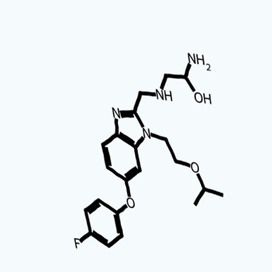 CC(C)OCCn1c(CNCC(N)O)nc2ccc(Oc3ccc(F)cc3)cc21